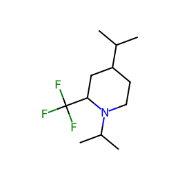 CC(C)C1CCN(C(C)C)C(C(F)(F)F)C1